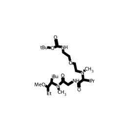 CCC(C)C(C(CC)OC)N(C)C(=O)CNC(=O)C(C(C)C)N(C)CCOCCNC(=O)OC(C)(C)C